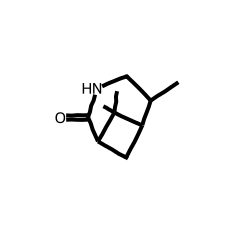 CC1CNC(=O)C2CC1C2(C)C